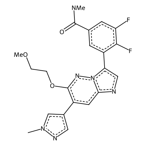 CNC(=O)c1cc(F)c(F)c(-c2cnc3cc(-c4cnn(C)c4)c(OCCOC)nn23)c1